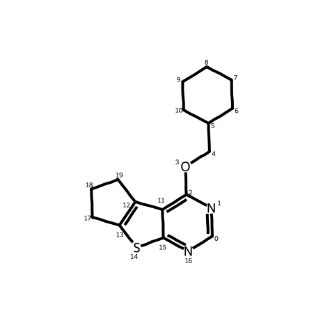 c1nc(OCC2CCCCC2)c2c3c(sc2n1)CCC3